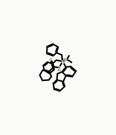 C[SiH](C)[Hf]([CH2]c1ccccc1)([CH2]c1ccccc1)([NH]C(=O)C1CCCCC1)[c]1cccc2c1Cc1ccccc1-2